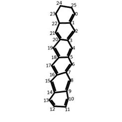 C1=C2C=c3cc4cc5cc6ccccc6cc5cc4cc3=CC2CCC1